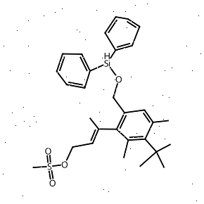 CC(=CCOS(C)(=O)=O)c1c(CO[SiH](c2ccccc2)c2ccccc2)cc(C)c(C(C)(C)C)c1C